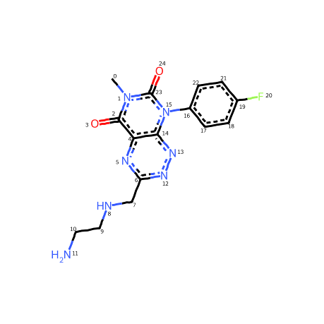 Cn1c(=O)c2nc(CNCCN)nnc2n(-c2ccc(F)cc2)c1=O